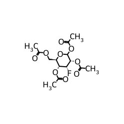 CC(=O)OC[C@H]1OC(OC(C)=O)[C@H](OC(C)=O)[C@H](F)[C@@H]1OC(C)=O